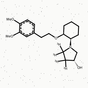 [2H]C1([2H])[C@@H](O)CN([C@@H]2CCCCC2OCCc2ccc(OC)c(OC)c2)C1([2H])[2H]